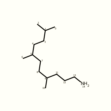 CC(C)CCC(C)CCC(C)CCCN